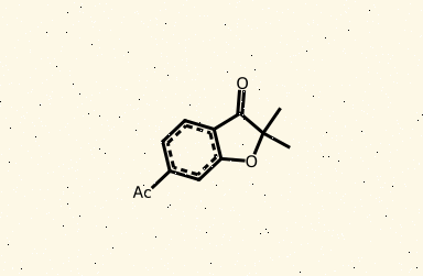 CC(=O)c1ccc2c(c1)OC(C)(C)C2=O